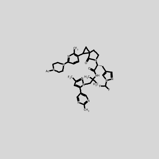 CC(=O)N1CCN(c2ccc(C3CC34CCN([C@H](Cc3cnn(C(F)F)c3)C(=O)NC(C)(C)Cn3nc(C(F)(F)F)cc3-c3cnc(C)nc3)C4=O)c(C(F)(F)F)n2)CC1